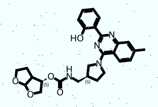 Cc1ccc2c(N3CC[C@@H](CNC(=O)O[C@@H]4COC5OCCC54)C3)nc(-c3ccccc3O)nc2c1